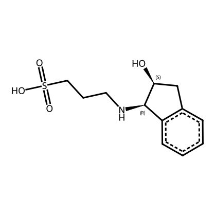 O=S(=O)(O)CCCN[C@@H]1c2ccccc2C[C@@H]1O